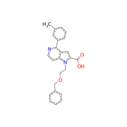 Cc1cccc(-c2nccc3c2cc(C(=O)O)n3CCOCc2ccccc2)c1